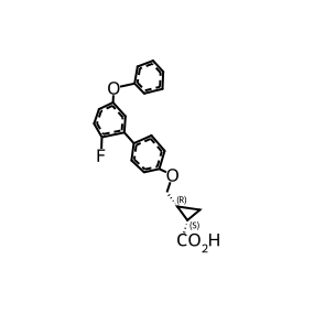 O=C(O)[C@H]1C[C@H]1COc1ccc(-c2cc(Oc3ccccc3)ccc2F)cc1